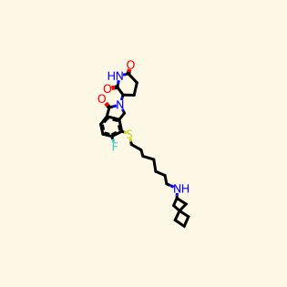 O=C1CCC(N2Cc3c(ccc(F)c3SCCCCCCCNC3CC4(CCC4)C3)C2=O)C(=O)N1